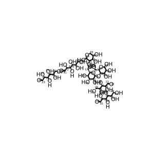 O=C[C@@H](O)[C@@H](O)[C@H](O)[C@H](O)CO.O=C[C@@H](O)[C@H](O)[C@H](O)CO.O=C[C@H](O)[C@@H](O)[C@@H](O)[C@H](O)CO.O=C[C@H](O)[C@@H](O)[C@H](O)[C@H](O)CO.OC1OC[C@@H](O)[C@H](O)[C@H]1O.OC[C@H]1O[C@@H](O[C@H]2[C@H](O)[C@@H](O)[C@H](O)O[C@@H]2CO)[C@H](O)[C@@H](O)[C@@H]1O